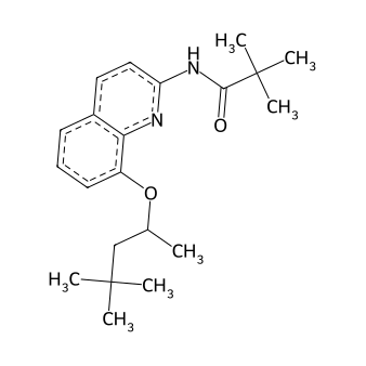 CC(CC(C)(C)C)Oc1cccc2ccc(NC(=O)C(C)(C)C)nc12